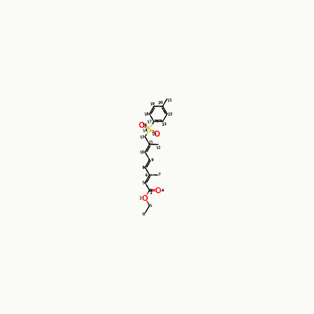 CCOC(=O)/C=C(C)/C=C/C=C(\C)CS(=O)(=O)c1ccc(C)cc1